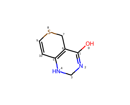 OC1=NCNC2=C1CSC=C2